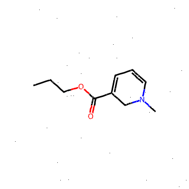 CCCOC(=O)C1=CC=CN(C)C1